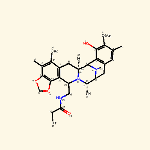 COc1c(C)cc2c(c1O)C1[C@@H]3Cc4c(OC(C)=O)c(C)c5c(c4C(CNC(=O)CC(C)C)N3[C@@H](C#N)C(C2)N1C)OCO5